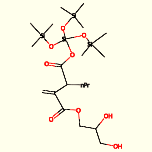 C=C(C(=O)OCC(O)CO)C(CCC)C(=O)O[Si](O[Si](C)(C)C)(O[Si](C)(C)C)O[Si](C)(C)C